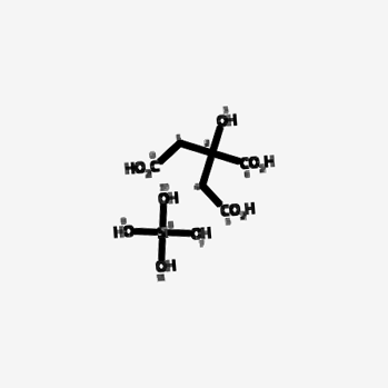 O=C(O)CC(O)(CC(=O)O)C(=O)O.O[Si](O)(O)O